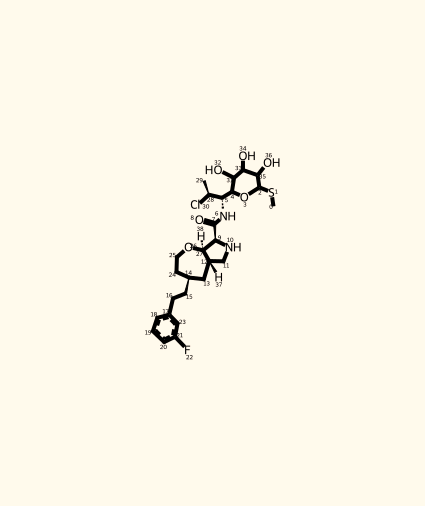 CSC1OC([C@H](NC(=O)[C@H]2NC[C@@H]3C[C@@H](CCc4cccc(F)c4)CCO[C@H]32)[C@H](C)Cl)C(O)C(O)C1O